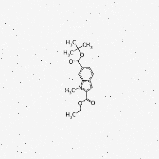 CCOC(=O)c1cc2ccc(C(=O)OC(C)(C)C)cc2n1C